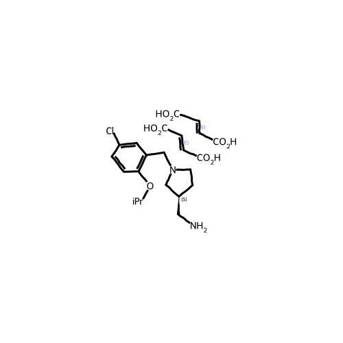 CC(C)Oc1ccc(Cl)cc1CN1CC[C@@H](CN)C1.O=C(O)/C=C/C(=O)O.O=C(O)/C=C/C(=O)O